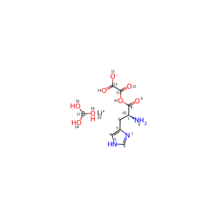 N[C@@H](Cc1c[nH]cn1)C(=O)OC(=O)C(=O)[O-].OB(O)O.[Li+]